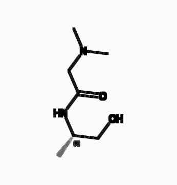 C[C@@H](CO)NC(=O)CN(C)C